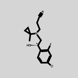 CC1(N(CCC#N)C[C@@H](O)c2ccc(Cl)cc2F)CC1